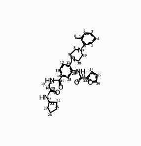 Cc1ccccc1N1CCN(c2ccc(C(=O)N[C@@H](C)C(=O)NC3CCCC3)cc2NC(=O)c2ccco2)CC1